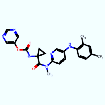 CN(C(=O)C1(NC(=O)Oc2cncnc2)CC1)c1ccc(Nc2ccc(C(F)(F)F)cc2C(F)(F)F)cn1